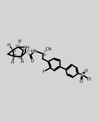 CCS(=O)(=O)c1ccc(-c2ccc(C[C@@H](C#N)NC(=O)[C@H]3N[C@H]4C[C@H]3[C@@H]3C[C@@H]34)c(F)c2)cc1